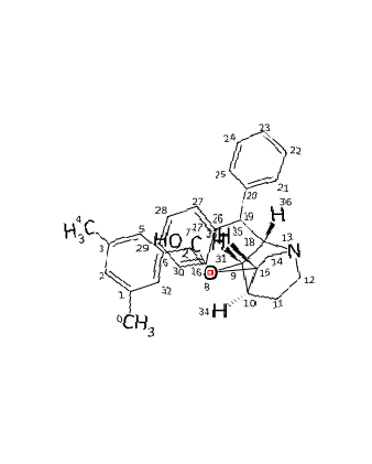 Cc1cc(C)cc(CO[C@H]2[C@@H]3CCN(C[C@H]3OC(=O)O)[C@H]2C(c2ccccc2)c2ccccc2)c1